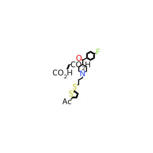 CC(=O)c1ccc(SCCCN2CCC(C(=O)c3ccc(F)cc3)CC2)s1.O=C(O)/C=C\C(=O)O